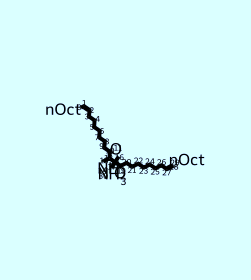 CCCCCCCC/C=C\CCCCCCCC(=O)C(CN)C(C)(C)C(=O)CCCCCCC/C=C\CCCCCCCC.N